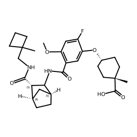 COc1cc(F)c(O[C@H]2CC[C@@](C)(C(=O)O)CC2)cc1C(=O)NC1[C@H]2CC[C@H](C2)[C@@H]1C(=O)NCC1(C)CCC1